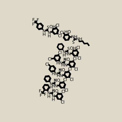 CCCCCNC(=S)Nc1cccc(Cl)c1O.Oc1c(Cl)cc(Cl)cc1NC(=S)NC1CCCCC1.Oc1c(Cl)cc(Cl)cc1NC(=S)Nc1cc(Cl)cc(Cl)c1.Oc1c(Cl)cc(Cl)cc1NC(=S)Nc1ccc(C(F)(F)F)cc1.Oc1c(Cl)cc(Cl)cc1NC(=S)Nc1ccc(Cl)cc1.Oc1c(Cl)cc(Cl)cc1NC(=S)Nc1ccccc1.Oc1c(Cl)cc(Cl)cc1NC(=S)Nc1ccccc1C(F)(F)F